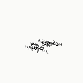 CNCCN(C)C(=O)c1cc2[nH]c(-c3cc(C)nc(CCc4cc(-c5[nH]c6cc(C(=O)NC7CCNCC7)sc6c5C(C)C)cc(C)n4)c3)c(C(C)C)c2s1